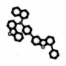 c1ccc(-c2cccc3c2oc2ccc(-c4ccc(N(c5cccc6ccccc56)c5cccc6oc7ccccc7c56)cc4)cc23)cc1